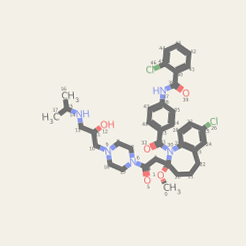 COC1(CC(=O)N2CCN(CC(O)CNC(C)C)CC2)CCCc2cc(Cl)ccc2N1C(=O)c1ccc(NC(=O)c2ccccc2Cl)cc1